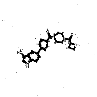 N#Cc1c[nH]c2ccc(-c3ccc(C(=O)N4CCN(C(=O)C5CCO5)CC4)cc3)cc12